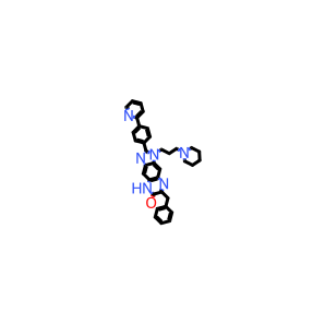 O=c1[nH]c2cc3nc(-c4ccc(-c5ccccn5)cc4)n(CCCN4CCCCC4)c3cc2nc1Cc1ccccc1